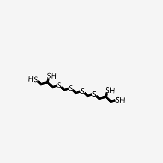 SCC(S)CSCSCSCSCC(S)CS